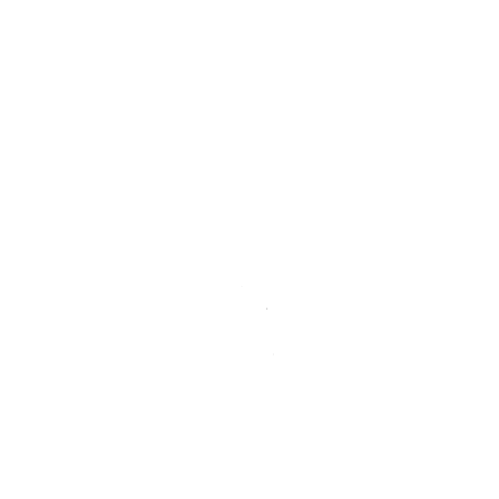 CC(NC(=O)Oc1ccc(Oc2ccccc2)cc1)c1ccccc1